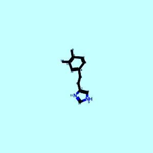 Cc1ccc(CCc2c[nH]cn2)cc1C